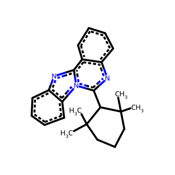 CC1(C)CCCC(C)(C)C1c1nc2ccccc2c2nc3ccccc3n12